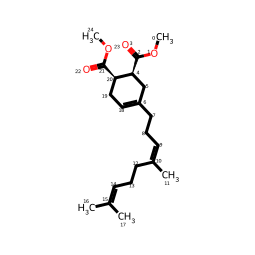 COC(=O)[C@H]1CC(CCC=C(C)CCC=C(C)C)=CC[C@H]1C(=O)OC